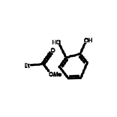 CCC(=O)OC.Oc1ccccc1O